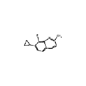 Cc1ccc2ccc(C3CC3)c(F)c2n1